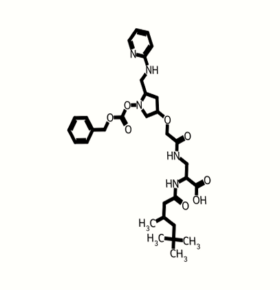 CC(CC(=O)NC(CNC(=O)COC1CC(CNc2ccccn2)N(OC(=O)OCc2ccccc2)C1)C(=O)O)CC(C)(C)C